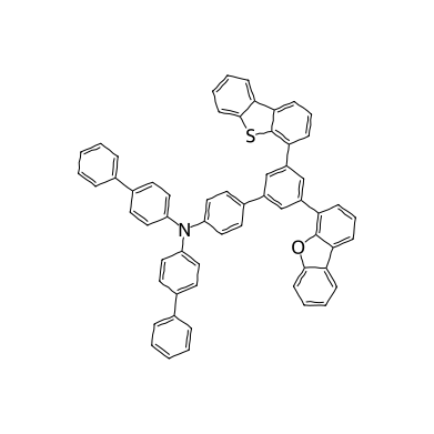 c1ccc(-c2ccc(N(c3ccc(-c4ccccc4)cc3)c3ccc(-c4cc(-c5cccc6c5oc5ccccc56)cc(-c5cccc6c5sc5ccccc56)c4)cc3)cc2)cc1